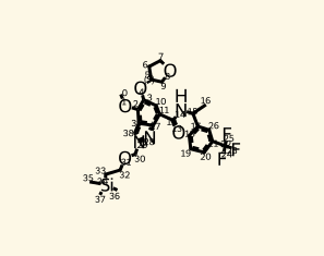 COc1c(O[C@H]2CCOC2)cc(C(=O)NC(C)c2cccc(C(F)(F)F)c2)c2nn(COCC[Si](C)(C)C)cc12